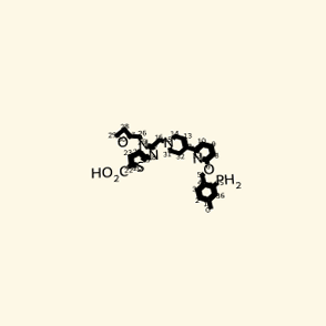 Cc1ccc(COc2cccc(C3=CCN(Cc4nc5sc(C(=O)O)cc5n4CC4CCO4)CC3)n2)c(P)c1